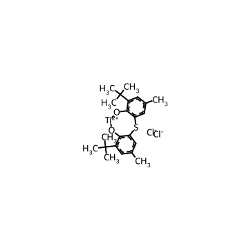 Cc1cc2c(c(C(C)(C)C)c1)[O][Ti+2][O]c1c(cc(C)cc1C(C)(C)C)S2.[Cl-].[Cl-]